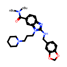 CCCCN(CCCC)C(=O)c1ccc2nc(NCc3ccc4c(c3)OCO4)n(CCCN3CCCCC3)c2c1